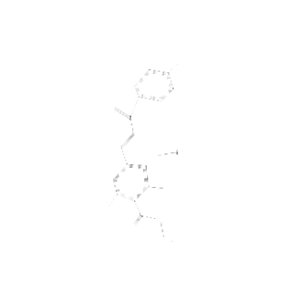 Cc1cc(C=CC(=O)c2ccc(C(F)(F)F)cc2)c(OC(C)C)c(C)c1C(=O)OC(C)(C)C